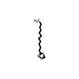 CCCCCCCCCCCc1nncs1